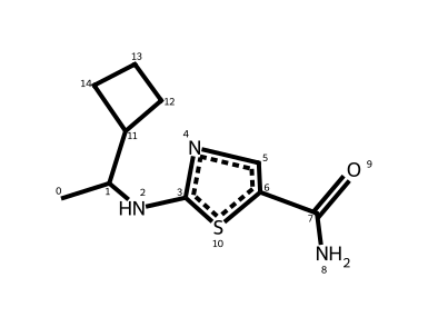 CC(Nc1ncc(C(N)=O)s1)C1CCC1